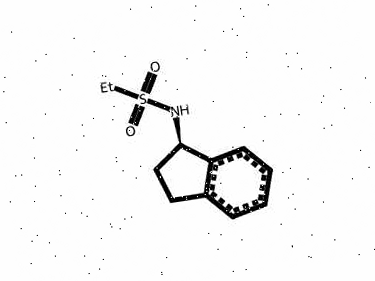 CCS(=O)(=O)N[C@@H]1CCc2ccccc21